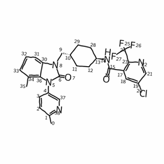 Cc1ccc(-n2c(=O)n(C[C@H]3CC[C@H](NC(=O)c4cc(Cl)cnc4C(F)(F)F)CC3)c3cccc(C)c32)cn1